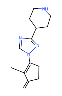 C=C1CCC(n2cnc(C3CCNCC3)n2)=C1C